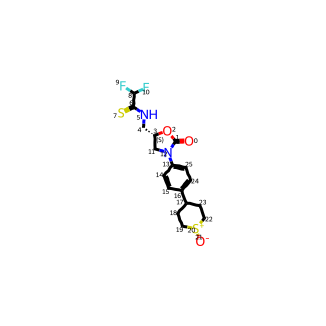 O=C1O[C@@H](CNC(=S)C(F)F)CN1c1ccc(C2CC[S+]([O-])CC2)cc1